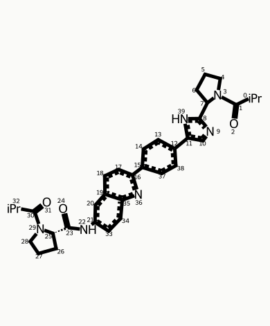 CC(C)C(=O)N1CCCC1c1ncc(-c2ccc(-c3ccc4cc(NC(=O)[C@@H]5CCCN5C(=O)C(C)C)ccc4n3)cc2)[nH]1